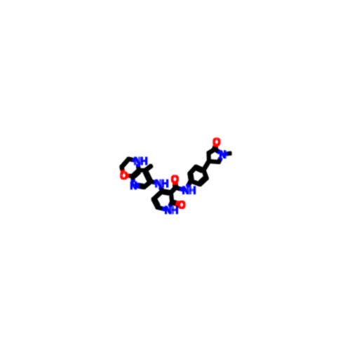 Cc1c(Nc2cc[nH]c(=O)c2C(=O)Nc2ccc(C3CC(=O)N(C)C3)cc2)cnc2c1NCCO2